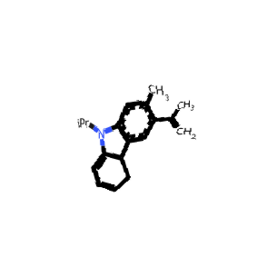 C=C(C)c1cc2c(cc1C)N(C(C)C)C1=CC=CCC12